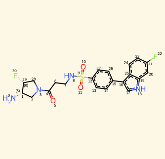 N[C@H]1CN(C(=O)CCNS(=O)(=O)c2ccc(-c3c[nH]c4cc(F)ccc34)cc2)C[C@H]1F